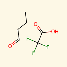 CCCC=O.O=C(O)C(F)(F)F